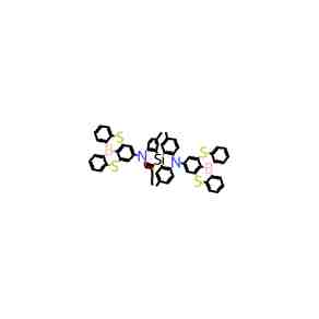 Cc1ccc2c(c1)[Si]1(c3cc(C)ccc3N2c2cc3c4c(c2)Sc2ccccc2B4c2ccccc2S3)c2cc(C)ccc2N(c2cc3c4c(c2)Sc2ccccc2B4c2ccccc2S3)c2ccc(C)cc21